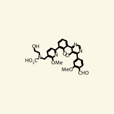 COc1cc(-c2ncnc(-c3cccc(-c4ccc(CN(CCO)C(=O)O)c(OC)n4)c3Cl)c2Cl)ccc1C=O